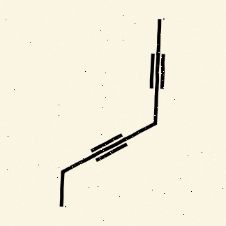 [CH2]C#CCC#CC[CH2]